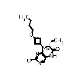 CCCCOC1CC(N2c3nc(Cl)ncc3NC(=O)[C@H]2CC)C1